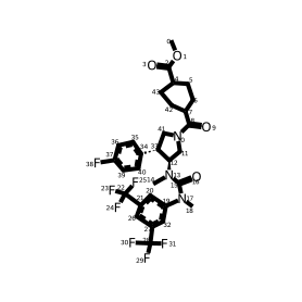 COC(=O)C1CCC(C(=O)N2C[C@@H](N(C)C(=O)N(C)c3cc(C(F)(F)F)cc(C(F)(F)F)c3)[C@H](c3ccc(F)cc3)C2)CC1